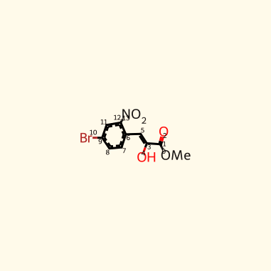 COC(=O)C(O)=Cc1ccc(Br)cc1[N+](=O)[O-]